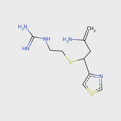 C=C(N)CC(SCCNC(=N)N)c1cscn1